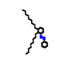 CCCCCCCCCc1cccc(N=Nc2ccccc2)c1CCCCCCCCC